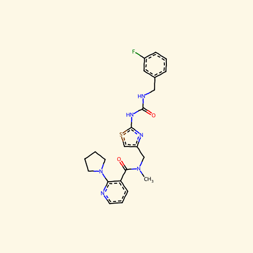 CN(Cc1csc(NC(=O)NCc2cccc(F)c2)n1)C(=O)c1cccnc1N1CCCC1